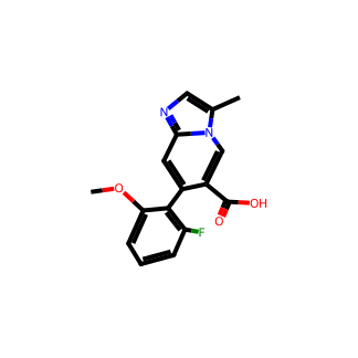 COc1cccc(F)c1-c1cc2ncc(C)n2cc1C(=O)O